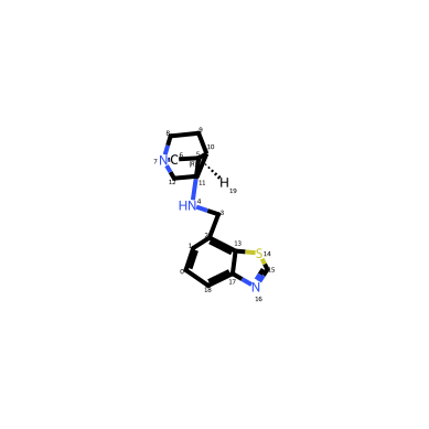 c1cc(CN[C@H]2CN3CCC2CC3)c2scnc2c1